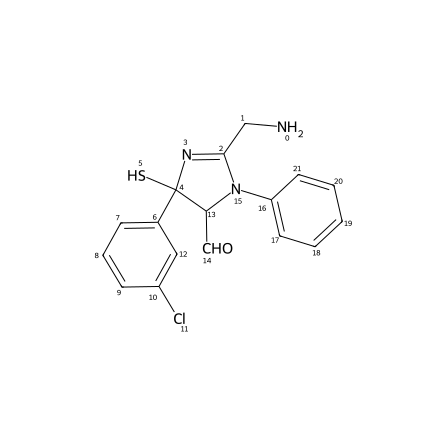 NCC1=NC(S)(c2cccc(Cl)c2)C(C=O)N1c1ccccc1